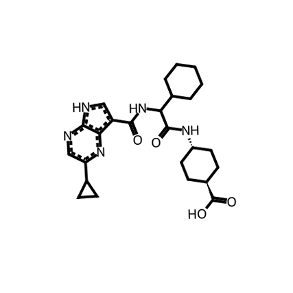 O=C(NC(C(=O)N[C@H]1CC[C@H](C(=O)O)CC1)C1CCCCC1)c1c[nH]c2ncc(C3CC3)nc12